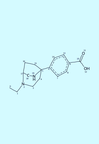 CCN1CCC2(c3ccc(C(=O)O)cc3)CCC1CN2